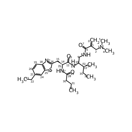 C=C(CN(C)C)C(=O)NCC(NC(=O)[C@H](Cc1nc2ccc(CC)cc2s1)NC(=O)CCC)[C@@H](C)CC